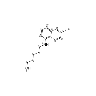 OCCCCCNc1ncnc2cc(F)ccc12